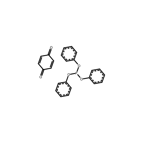 O=C1C=CC(=O)C=C1.c1ccc(OP(Oc2ccccc2)Oc2ccccc2)cc1